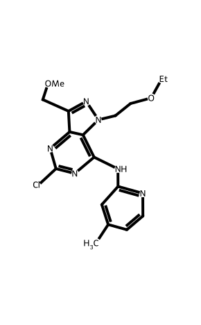 CCOCCn1nc(COC)c2nc(Cl)nc(Nc3cc(C)ccn3)c21